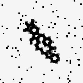 C/C=c1/c2c(n(Cc3ccc(C(=O)NO)cc3)/c1=C/C=C\COCCN1CCOCC1)CN1CC2C(=O)N(C)C1=O